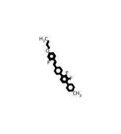 CCCCOc1ccc(/C=C/C2CCC(c3ccc(C4CCC(C)CC4)c(F)c3F)CC2)c(F)c1